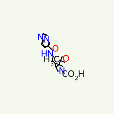 CC1(C23CN(C(=O)O)CC2C3CCNC(=O)c2ccc3nccn3c2)COC1